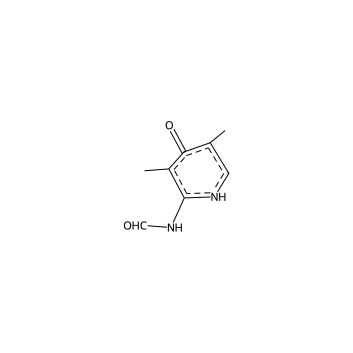 Cc1c[nH]c(NC=O)c(C)c1=O